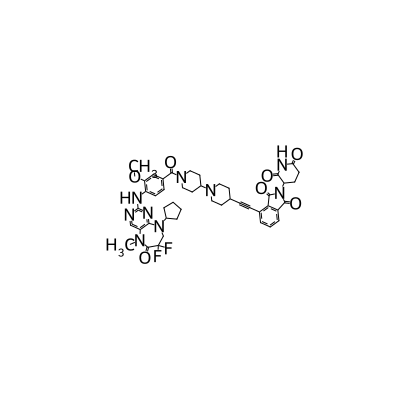 COc1cc(C(=O)N2CCC(N3CCC(C#Cc4cccc5c4C(=O)N(C4CCC(=O)NC4=O)C5=O)CC3)CC2)ccc1Nc1ncc2c(n1)N(C1CCCC1)CC(F)(F)C(=O)N2C